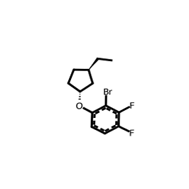 CC[C@@H]1CC[C@@H](Oc2ccc(F)c(F)c2Br)C1